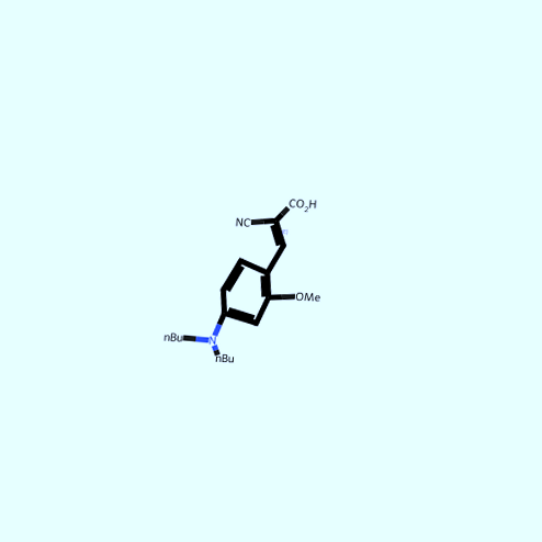 CCCCN(CCCC)c1ccc(/C=C(\C#N)C(=O)O)c(OC)c1